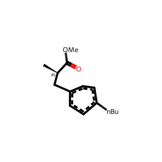 CCCCc1ccc(C[C@@H](C)C(=O)OC)cc1